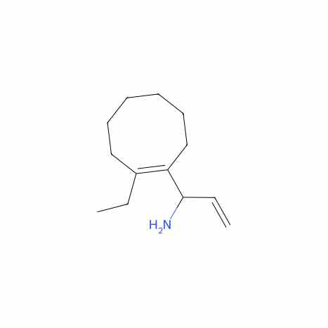 C=CC(N)/C1=C(\CC)CCCCCC1